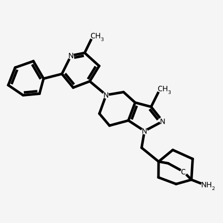 Cc1cc(N2CCc3c(c(C)nn3CC34CCC(N)(CC3)CC4)C2)cc(-c2ccccc2)n1